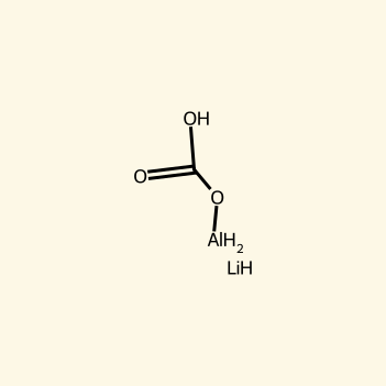 O=C(O)[O][AlH2].[LiH]